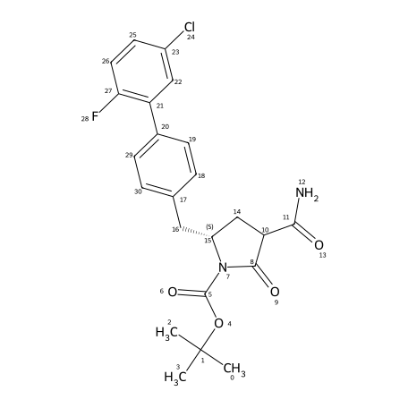 CC(C)(C)OC(=O)N1C(=O)C(C(N)=O)C[C@H]1Cc1ccc(-c2cc(Cl)ccc2F)cc1